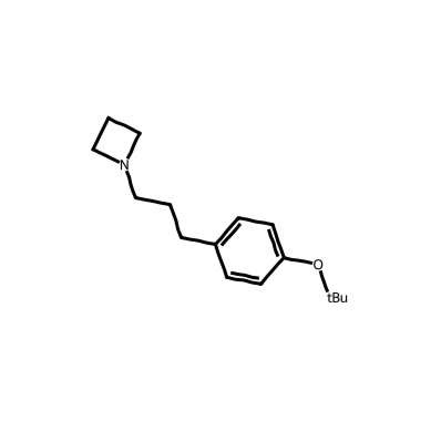 CC(C)(C)Oc1ccc(CCCN2CCC2)cc1